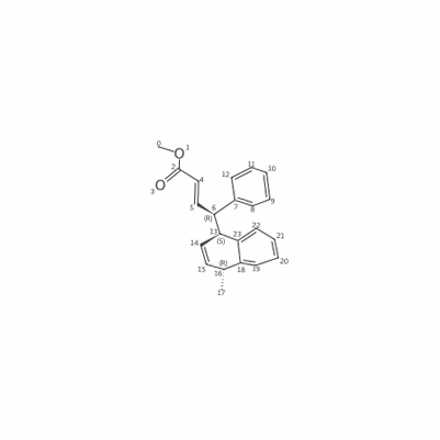 COC(=O)C=C[C@@H](c1ccccc1)[C@@H]1C=C[C@@H](C)c2ccccc21